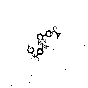 CC1CC1C(=O)N1CC=C(c2cccn3nc(Nc4ccc(C(=O)N(C)C5CCN(C)CC5)cc4)nc23)CC1